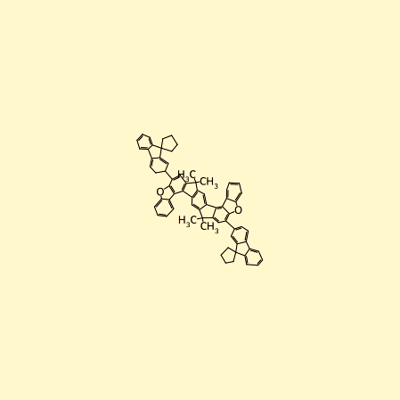 CC1(C)c2cc3c(cc2-c2c1cc(-c1ccc4c(c1)C1(CCCC1)c1ccccc1-4)c1oc4ccccc4c21)C(C)(C)c1cc(C2C=C4C(=CC2)c2ccccc2C42CCCC2)c2oc4ccccc4c2c1-3